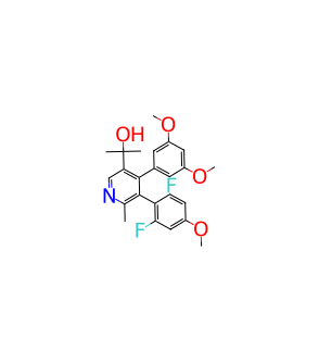 COc1cc(OC)cc(-c2c(C(C)(C)O)cnc(C)c2-c2c(F)cc(OC)cc2F)c1